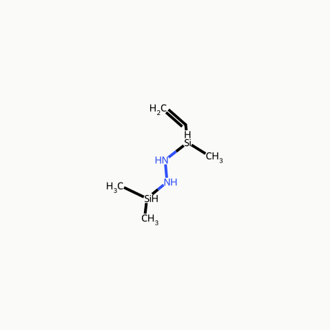 C=C[SiH](C)NN[SiH](C)C